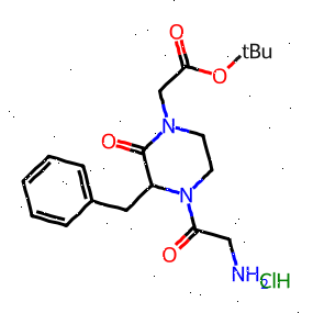 CC(C)(C)OC(=O)CN1CCN(C(=O)CN)C(Cc2ccccc2)C1=O.Cl